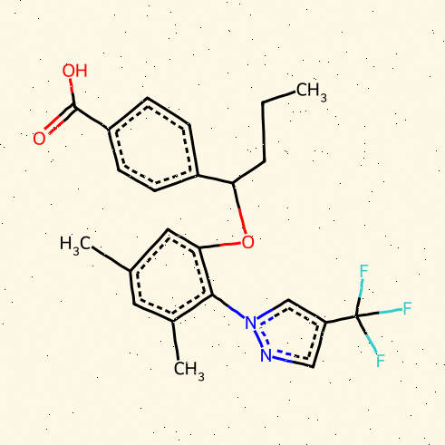 CCCC(Oc1cc(C)cc(C)c1-n1cc(C(F)(F)F)cn1)c1ccc(C(=O)O)cc1